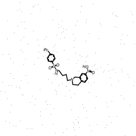 CC(C)c1ccc(S(=O)(=O)NCCCCN2CCc3ccc([N+](=O)O)cc3C2)cc1